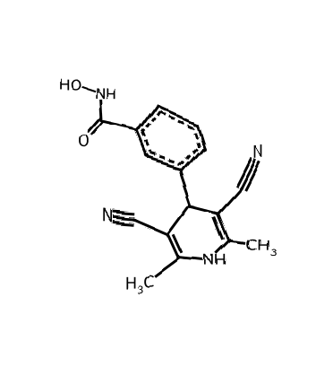 CC1=C(C#N)C(c2cccc(C(=O)NO)c2)C(C#N)=C(C)N1